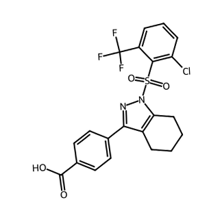 O=C(O)c1ccc(-c2nn(S(=O)(=O)c3c(Cl)cccc3C(F)(F)F)c3c2CCCC3)cc1